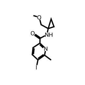 COCC1(NC(=O)c2ccc(I)c(C)n2)CC1